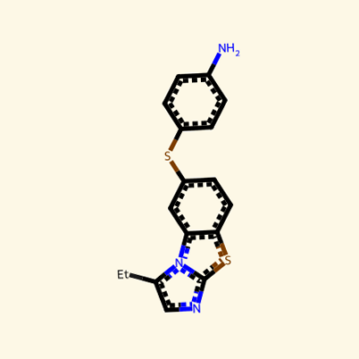 CCc1cnc2sc3ccc(Sc4ccc(N)cc4)cc3n12